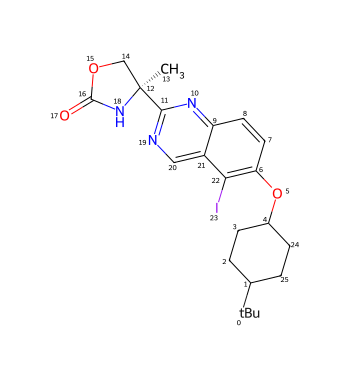 CC(C)(C)C1CCC(Oc2ccc3nc([C@]4(C)COC(=O)N4)ncc3c2I)CC1